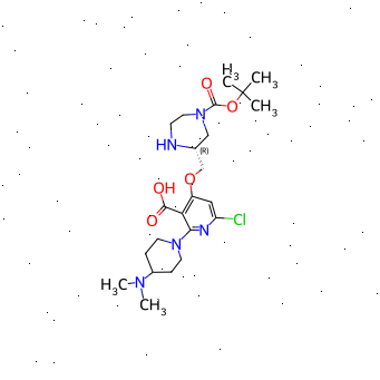 CN(C)C1CCN(c2nc(Cl)cc(OC[C@H]3CN(C(=O)OC(C)(C)C)CCN3)c2C(=O)O)CC1